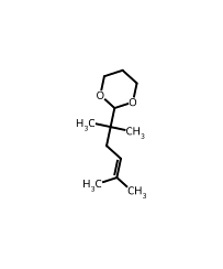 CC(C)=CCC(C)(C)C1OCCCO1